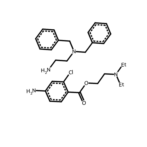 CCN(CC)CCOC(=O)c1ccc(N)cc1Cl.NCCN(Cc1ccccc1)Cc1ccccc1